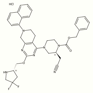 Cl.N#CC[C@H]1CN(c2nc(OC[C@@H]3CC(F)(F)CN3)nc3c2CCN(c2cccc4ccccc24)C3)CCN1C(=O)OCc1ccccc1